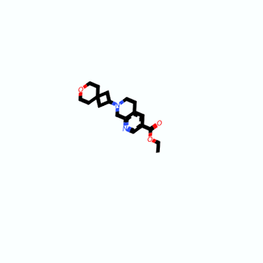 CCOC(=O)c1cnc2c(c1)CCN(C1CC3(CCOCC3)C1)C2